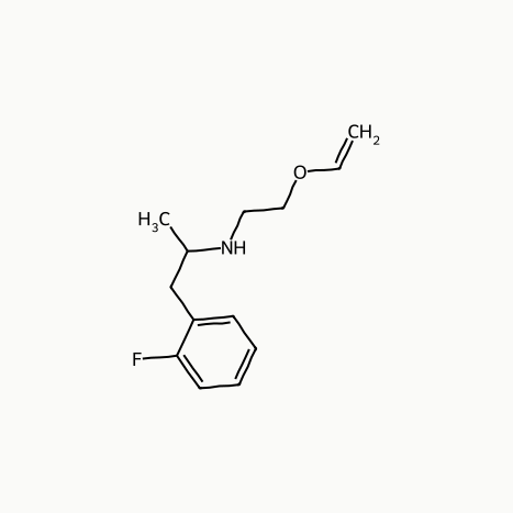 C=COCCNC(C)Cc1ccccc1F